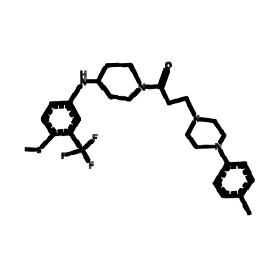 CSc1ccc(NC2CCN(C(=O)CCN3CCN(c4ccc(C)cc4)CC3)CC2)cc1C(F)(F)F